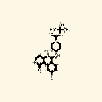 CC(C)(C)OC(=O)N1CC[C@@H](Nc2nc3cc[nH]c(=O)c3c3cc(F)ccc23)[C@H](F)C1